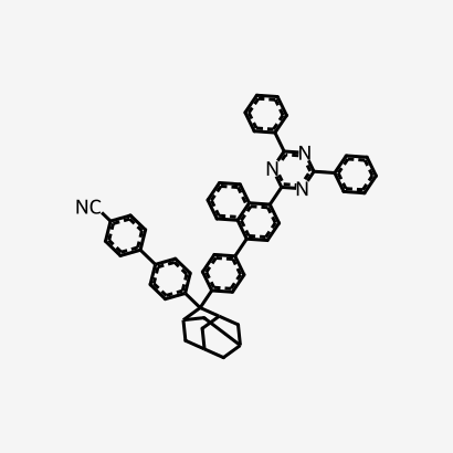 N#Cc1ccc(-c2ccc(C3(c4ccc(-c5ccc(-c6nc(-c7ccccc7)nc(-c7ccccc7)n6)c6ccccc56)cc4)C4CC5CC(C4)CC3C5)cc2)cc1